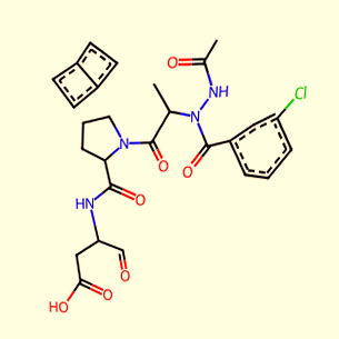 CC(=O)NN(C(=O)c1cccc(Cl)c1)C(C)C(=O)N1CCCC1C(=O)NC(C=O)CC(=O)O.c1cc2ccc1-2